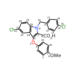 COc1ccc(Oc2c(C(=O)O)n(Cc3ccc(Cl)cc3)c3ccc(Cl)cc23)cc1